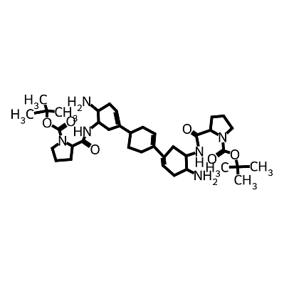 CC(C)(C)OC(=O)N1CCCC1C(=O)NC1CC(C2=CCC(C3=CCC(N)C(NC(=O)C4CCCN4C(=O)OC(C)(C)C)C3)CC2)=CCC1N